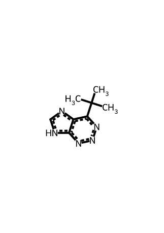 CC(C)(C)c1nnnc2[nH]cnc12